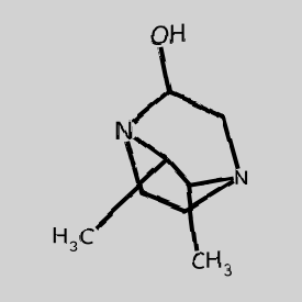 CC1C(C)N2CCN1CC2O